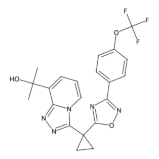 CC(C)(O)c1cccn2c(C3(c4nc(-c5ccc(OC(F)(F)F)cc5)no4)CC3)nnc12